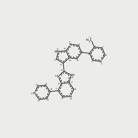 Cc1ccncc1-c1cnc2[nH]cc(-c3nc4c(-c5ccncc5)cncc4[nH]3)c2c1